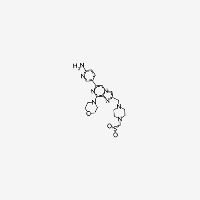 Nc1ccc(-c2cn3cc(CN4CCN(C=S(=O)=O)CC4)nc3c(N3CCOCC3)n2)cn1